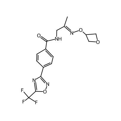 CC(CNC(=O)c1ccc(-c2noc(C(F)(F)F)n2)cc1)=NOC1COC1